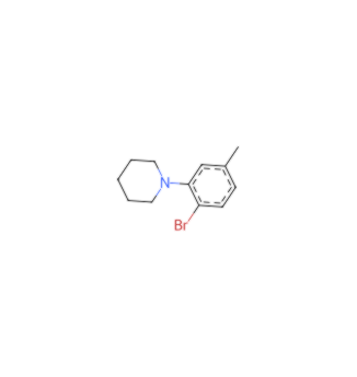 Cc1ccc(Br)c(N2CCCCC2)c1